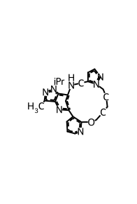 Cc1nn(C(C)C)c2c3cc(nc12)-c1cccnc1OCCCCCn1nccc1CN3